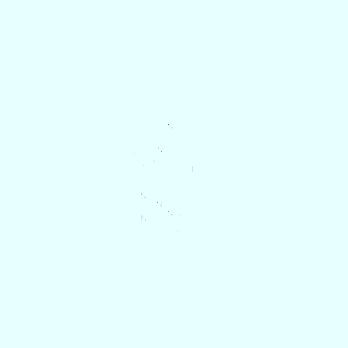 CN1CCN(c2ccc(Nc3ncc4ccc(-c5ccccc5OCC(=O)O)n4n3)cc2F)CC1